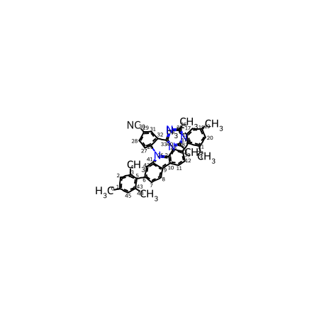 Cc1cc(C)c(-c2ccc3c4ccc(-c5c(C)cc(C)cc5C)cc4n(-c4ccc(C#N)cc4-c4nc(C)nc(C)n4)c3c2)c(C)c1